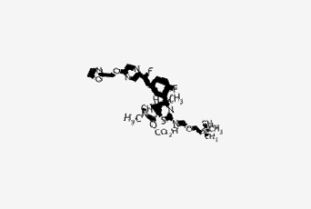 CN(C)C(=O)[C@]12C[C@H]1[C@@](C)(c1cc(/C=C(\F)c3cnc(OCc4ncco4)cn3)ccc1F)N=C(N(COCC[Si](C)(C)C)C(=O)O)S2